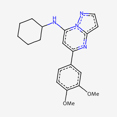 COc1ccc(-c2cc(NC3CCCCC3)n3nccc3n2)cc1OC